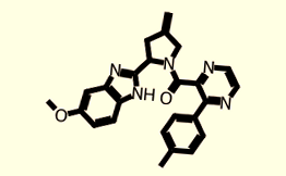 C=C1CC(c2nc3cc(OC)ccc3[nH]2)N(C(=O)c2nccnc2-c2ccc(C)cc2)C1